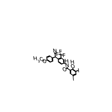 COc1ccc(C(C#N)c2ccc(NC(=O)c3cc(I)cc(I)c3O)cc2C(F)(F)F)cc1